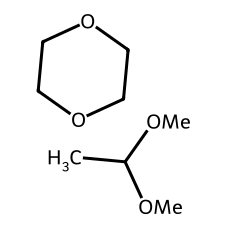 C1COCCO1.COC(C)OC